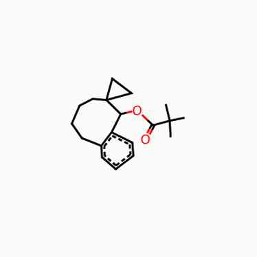 CC(C)(C)C(=O)OC1c2ccccc2CCCCC12CC2